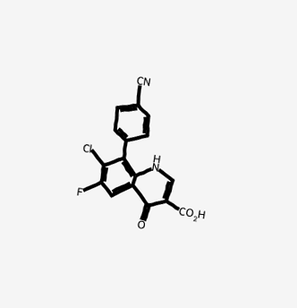 N#Cc1ccc(-c2c(Cl)c(F)cc3c(=O)c(C(=O)O)c[nH]c23)cc1